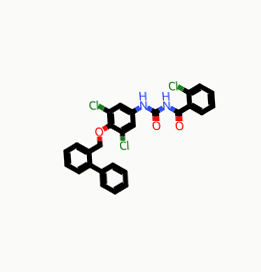 O=C(NC(=O)c1ccccc1Cl)Nc1cc(Cl)c(OCc2ccccc2-c2ccccc2)c(Cl)c1